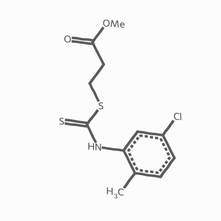 COC(=O)CCSC(=S)Nc1cc(Cl)ccc1C